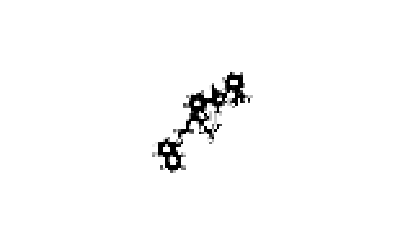 Cc1nn(-c2ccccc2[N+](=O)[O-])c(C)c1-c1cccc2c(CCCOc3cccc4ccccc34)c(OC(=O)O)[nH]c12